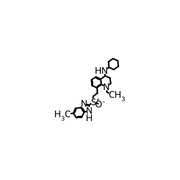 CCN1CCC(NC2CCCCC2)c2cccc(CC[S+]([O-])c3nc4cc(C)ccc4[nH]3)c21